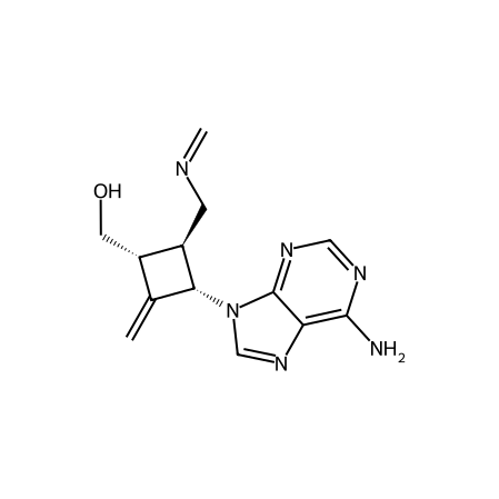 C=NC[C@H]1[C@H](n2cnc3c(N)ncnc32)C(=C)[C@@H]1CO